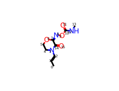 CC=CN1CCOC(=NOC(=O)NC)C1=O